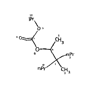 CCCC(C)(CCC)C(C)OC(=O)OC(C)C